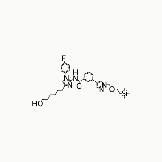 C[Si](C)(C)CCOCn1cc(-c2cccc(C(=O)Nc3nc(CCCCCCO)cn3-c3ccc(F)cc3)c2)cn1